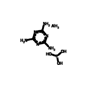 Nc1nc(N)nc(N)n1.OP(O)O.[AlH3]